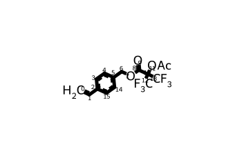 C=Cc1ccc(COC(=O)C(OC(C)=O)(C(F)(F)F)C(F)(F)F)cc1